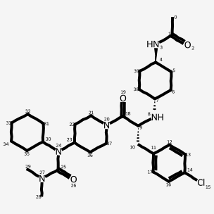 CC(=O)N[C@H]1CC[C@H](N[C@H](Cc2ccc(Cl)cc2)C(=O)N2CCC(N(C(=O)N(C)C)C3CCCCC3)CC2)CC1